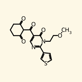 COCCn1c(-c2ccsc2)ncc(C(=O)C2C(=O)CCCC2=O)c1=O